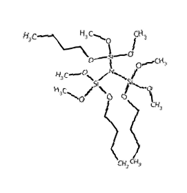 CCCCO[Si](OC)(OC)N([Si](OC)(OC)OCCCC)[Si](OC)(OC)OCCCC